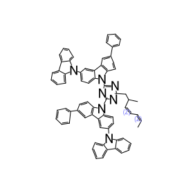 C/C=C\C=C/C(C)Cc1nc(-n2c3ccc(-c4ccccc4)cc3c3cc(-n4c5ccccc5c5ccccc54)ccc32)nc(-n2c3ccc(-c4ccccc4)cc3c3cc(-n4c5ccccc5c5ccccc54)ccc32)n1